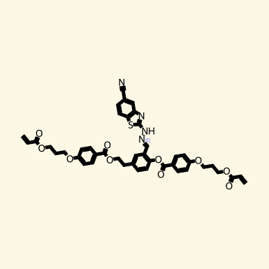 C=CC(=O)OCCCOc1ccc(C(=O)OCCc2ccc(OC(=O)c3ccc(OCCCOC(=O)C=C)cc3)c(/C=N/Nc3nc4cc(C#N)ccc4s3)c2)cc1